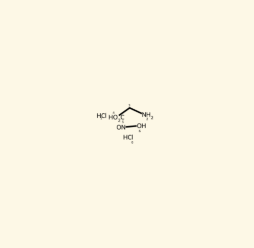 Cl.Cl.NCC(=O)O.O=NO